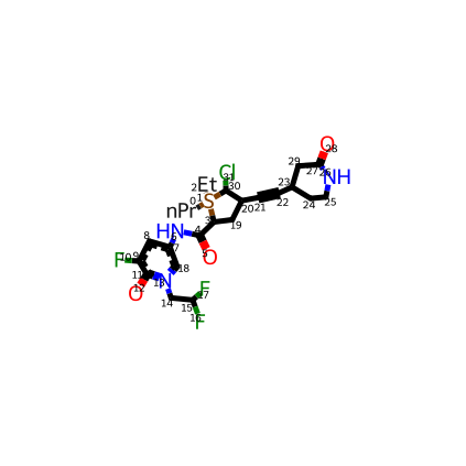 CCCS1(CC)C(C(=O)Nc2cc(F)c(=O)n(CC(F)F)c2)CC(C#CC2CCNC(=O)C2)C1Cl